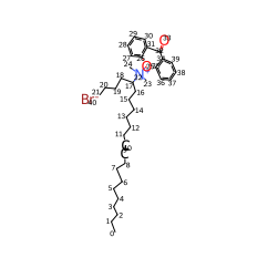 CCCCCCCCCCCCCCCCCC(CCCC)[N+](C)(C)Oc1ccccc1C(=O)c1ccccc1.[Br-]